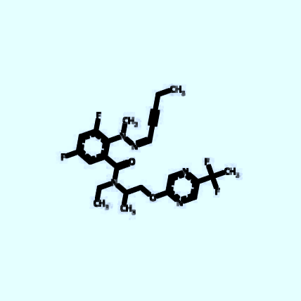 CCC#C/C=N\N(C)c1c(F)cc(F)cc1C(=O)N(CC)C(C)COc1cnc(C(C)(F)F)cn1